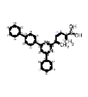 C=C(/C=C\C(=C)c1nc(-c2ccccc2)cc(-c2ccc(-c3ccccc3)cc2)n1)B(O)O